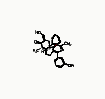 Cc1nc(-c2cccc(O)c2)c2c(n1)[C@@]1(c3ccccc3)CC(=CO)C(=O)[C@@H](C)[C@@H]1CC2